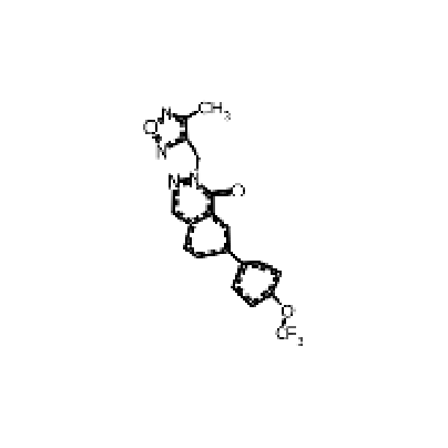 Cc1nonc1Cn1ncc2ccc(-c3ccc(OC(F)(F)F)cc3)cc2c1=O